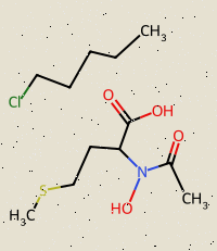 CCCCCCl.CSCCC(C(=O)O)N(O)C(C)=O